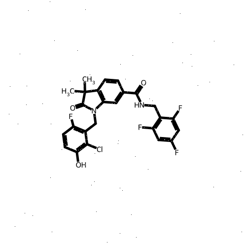 CC1(C)C(=O)N(Cc2c(F)ccc(O)c2Cl)c2cc(C(=O)NCc3c(F)cc(F)cc3F)ccc21